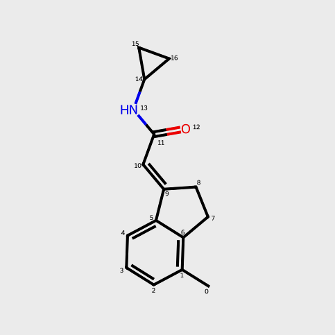 Cc1cccc2c1CCC2=CC(=O)NC1CC1